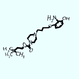 C[Si](C)(C)CCOC(=O)N1CCN(CCCCOc2cccc(O)c2N)CC1